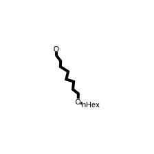 CCCCCCOCCCCCCCC[O]